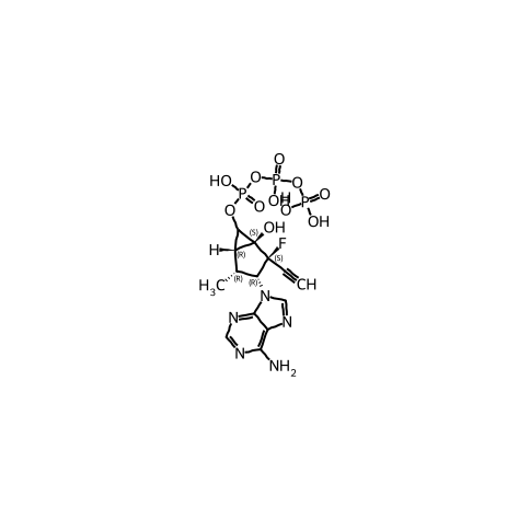 C#C[C@]1(F)[C@H](n2cnc3c(N)ncnc32)[C@H](C)[C@@H]2C(OP(=O)(O)OP(=O)(O)OP(=O)(O)O)[C@@]21O